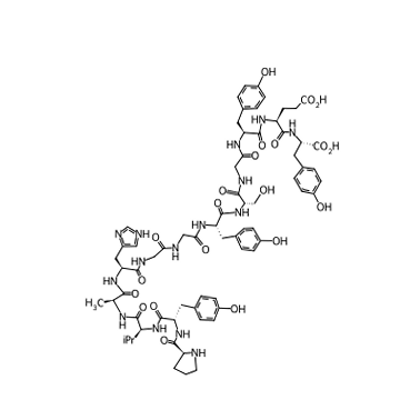 CC(C)[C@H](NC(=O)[C@H](Cc1ccc(O)cc1)NC(=O)[C@@H]1CCCN1)C(=O)N[C@@H](C)C(=O)N[C@@H](Cc1c[nH]cn1)C(=O)NCC(=O)NCC(=O)N[C@@H](Cc1ccc(O)cc1)C(=O)N[C@@H](CO)C(=O)NCC(=O)N[C@@H](Cc1ccc(O)cc1)C(=O)N[C@@H](CCC(=O)O)C(=O)N[C@@H](Cc1ccc(O)cc1)C(=O)O